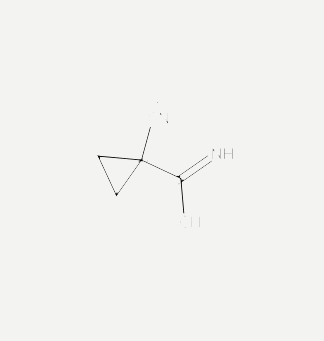 CC(=N)C1(C#N)CC1